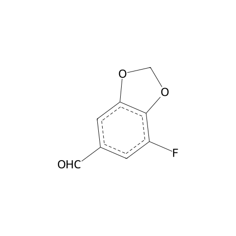 O=Cc1cc(F)c2c(c1)OCO2